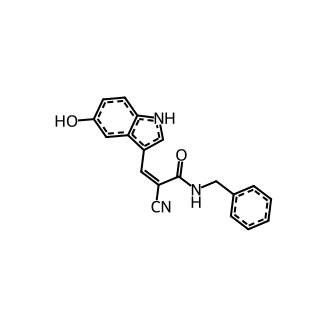 N#CC(=Cc1c[nH]c2ccc(O)cc12)C(=O)NCc1ccccc1